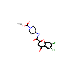 CC(C)(C)OC(=O)N1CCC(NC(=O)c2cc(=O)c3cc(Cl)c(F)cc3o2)CC1